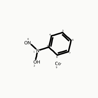 O=NN(O)c1ccccc1.[Co]